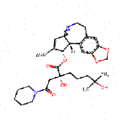 COC1=C[C@]23CCCN2CCc2cc4c(cc2[C@@H]3[C@@H]1OC(=O)[C@@](O)(CCCC(C)(C)O)CC(=O)N1CCCCC1)OCO4